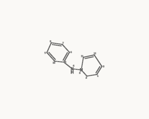 C1=CCN(Nc2ccccc2)C=C1